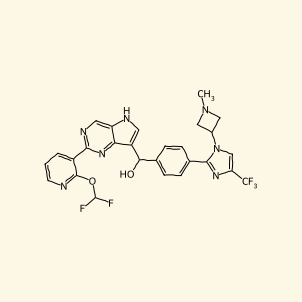 CN1CC(n2cc(C(F)(F)F)nc2-c2ccc(C(O)c3c[nH]c4cnc(-c5cccnc5OC(F)F)nc34)cc2)C1